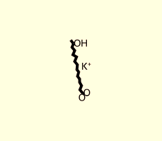 CC(O)CCCCCCCCCCCCCC(=O)[O-].[K+]